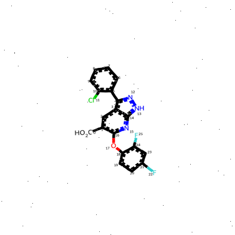 O=C(O)c1cc2c(-c3ccccc3Cl)n[nH]c2nc1Oc1ccc(F)cc1F